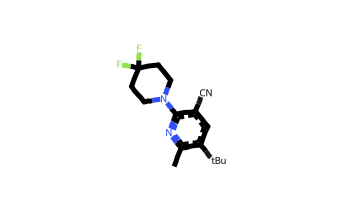 Cc1nc(N2CCC(F)(F)CC2)c(C#N)cc1C(C)(C)C